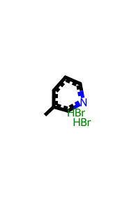 Br.Br.Cc1cccnc1